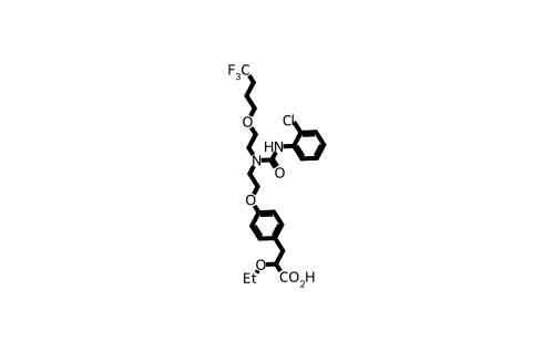 CCOC(Cc1ccc(OCCN(CCOCCCC(F)(F)F)C(=O)Nc2ccccc2Cl)cc1)C(=O)O